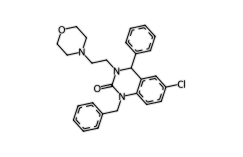 O=C1N(Cc2ccccc2)c2ccc(Cl)cc2C(c2ccccc2)N1CCN1CCOCC1